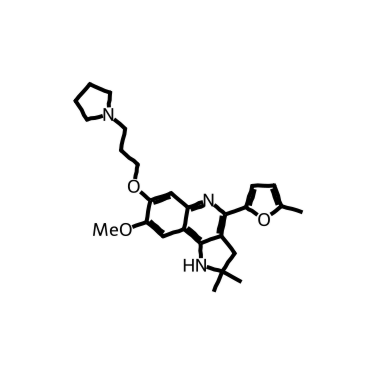 COc1cc2c3c(c(-c4ccc(C)o4)nc2cc1OCCCN1CCCC1)CC(C)(C)N3